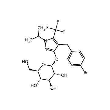 CC(C)n1nc(O[C@@H]2O[C@H](CO)[C@@H](O)[C@H](O)[C@H]2O)c(Cc2ccc(Br)cc2)c1C(F)(F)F